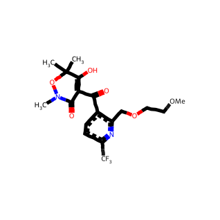 COCCOCc1nc(C(F)(F)F)ccc1C(=O)C1=C(O)C(C)(C)ON(C)C1=O